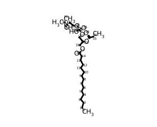 CCCCCCCCCCCCCCCC(=O)OCC(COP(=O)(O)OCC[N+](C)(C)C)OC(=O)CC